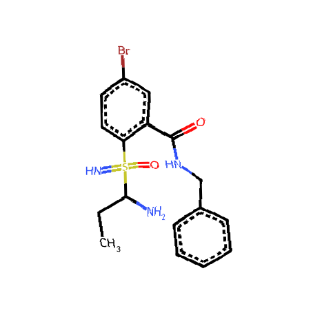 CCC(N)S(=N)(=O)c1ccc(Br)cc1C(=O)NCc1ccccc1